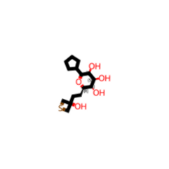 O[C@H]1[C@H](O)[C@@H](CCC2(O)CSC2)OC(C2CCCC2)[C@H]1O